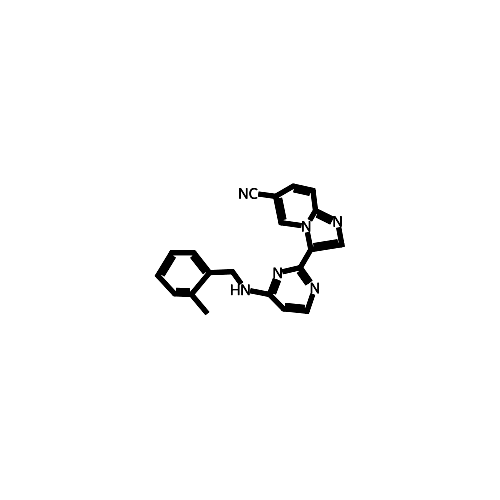 Cc1ccccc1CNc1ccnc(-c2cnc3ccc(C#N)cn23)n1